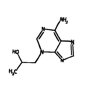 CC(O)Cn1cnc(N)c2ncnc1-2